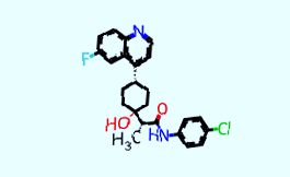 C[C@@H](C(=O)Nc1ccc(Cl)cc1)[C@]1(O)CC[C@@H](c2ccnc3ccc(F)cc32)CC1